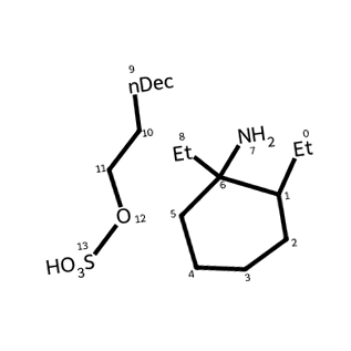 CCC1CCCCC1(N)CC.CCCCCCCCCCCCOS(=O)(=O)O